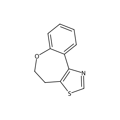 c1ccc2c(c1)OCCc1scnc1-2